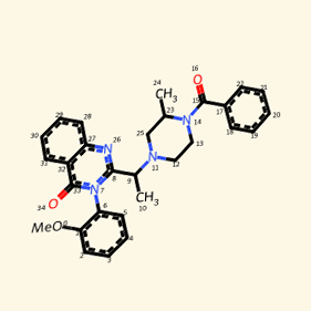 COc1ccccc1-n1c(C(C)N2CCN(C(=O)c3ccccc3)C(C)C2)nc2ccccc2c1=O